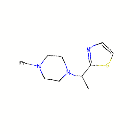 CC(C)N1CCN(C(C)c2nccs2)CC1